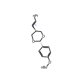 CCC/C=C/[C@H]1CO[C@H](c2ccc(OCCCC)cc2)OC1